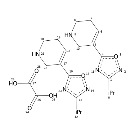 CC(C)c1noc(C2=CCCNC2)n1.CC(C)c1noc(C2=CCCNC2)n1.O=C(O)C(=O)O